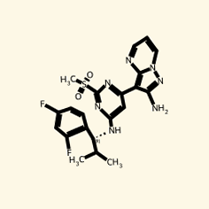 CC(C)[C@@H](Nc1cc(-c2c(N)nn3cccnc23)nc(S(C)(=O)=O)n1)c1ccc(F)cc1F